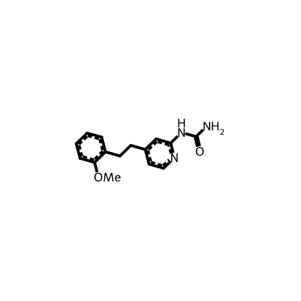 COc1ccccc1CCc1ccnc(NC(N)=O)c1